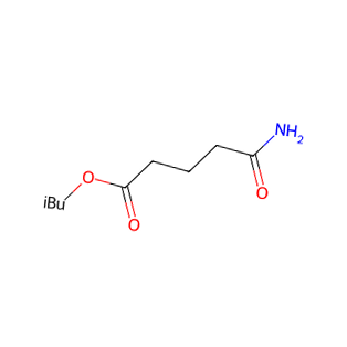 CCC(C)OC(=O)CCCC(N)=O